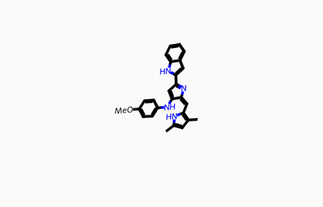 COc1ccc(NC2=CC(c3cc4ccccc4[nH]3)=N/C2=C/c2[nH]c(C)cc2C)cc1